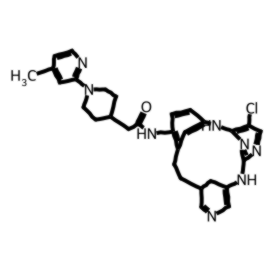 Cc1ccnc(N2CCC(CC(=O)Nc3ccc4cc3CCC3C=NC=C(C3)Nc3ncc(Cl)c(n3)N4)CC2)c1